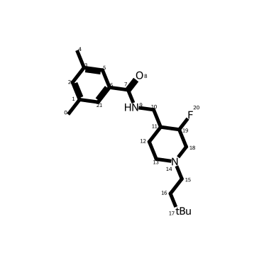 Cc1cc(C)cc(C(=O)NCC2CCN(CCC(C)(C)C)CC2F)c1